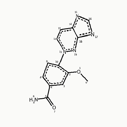 COc1cc(C(N)=O)ccc1-n1ccc2ncnc-2n1